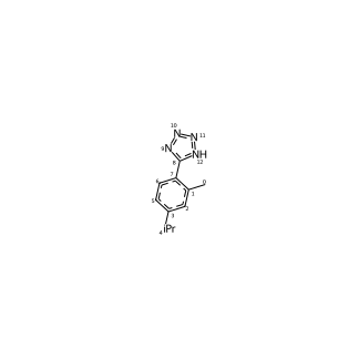 Cc1cc(C(C)C)ccc1-c1nnn[nH]1